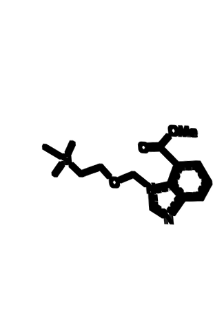 COC(=O)c1cccc2ncn(COCC[Si](C)(C)C)c12